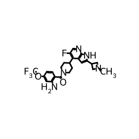 CN1CC(c2cc3c(C4CCN(C(=O)c5ccc(OC(F)(F)F)cc5N)CC4)c(F)cnc3[nH]2)C1